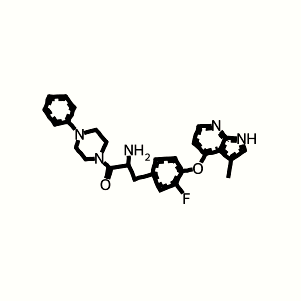 Cc1c[nH]c2nccc(Oc3ccc(CC(N)C(=O)N4CCN(c5ccccc5)CC4)cc3F)c12